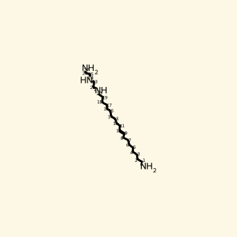 NCCCCCCCCC=CCCCCCCCCCCNCCNCCN